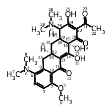 COc1ccc(N(C)C)c2c1C(=O)C1=C(O)[C@]3(O)C(=O)C(C(C)=O)=C(O)C(N(C)C)[C@@H]3C[C@@H]1C2